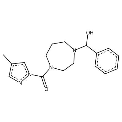 Cc1cnn(C(=O)N2CCCN(C(O)c3ccccc3)CC2)c1